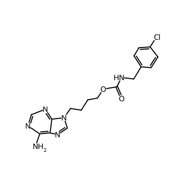 Nc1ncnc2c1ncn2CCCCOC(=O)NCc1ccc(Cl)cc1